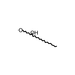 CCCCCCCCCCCCCCCCC(O)CCCCCC[O]